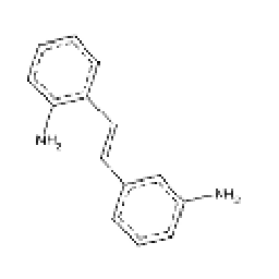 Nc1cccc(C=Cc2ccccc2N)c1